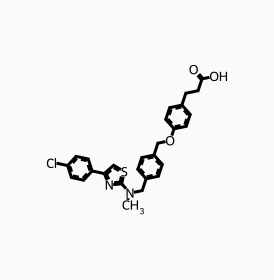 CN(Cc1ccc(COc2ccc(CCC(=O)O)cc2)cc1)c1nc(-c2ccc(Cl)cc2)cs1